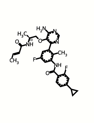 CC=CC(=O)N[C@@H](C)COc1c(N)ncnc1-c1cc(F)cc(NC(=O)c2ccc(C3CC3)cc2F)c1C